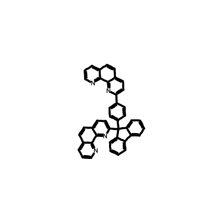 c1ccc2c(c1)-c1ccccc1C2(c1ccc(-c2ccc3ccc4cccnc4c3n2)cc1)c1ccc2ccc3cccnc3c2n1